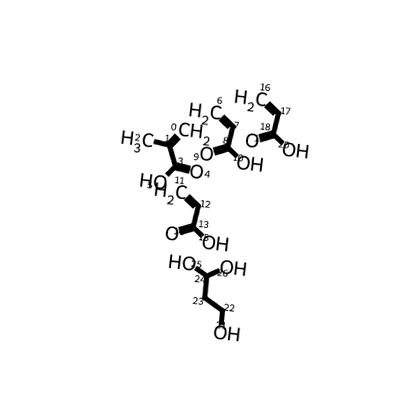 C=C(C)C(=O)O.C=CC(=O)O.C=CC(=O)O.C=CC(=O)O.OCCC(O)O